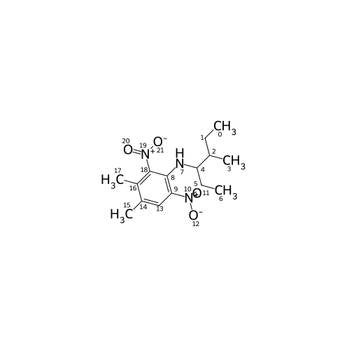 CCC(C)C(CC)Nc1c([N+](=O)[O-])cc(C)c(C)c1[N+](=O)[O-]